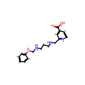 O=C(O)c1ccnc(CNCCCNCOc2ccccc2)c1